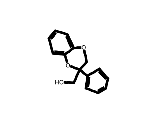 OCC1(c2ccccc2)COc2ccccc2O1